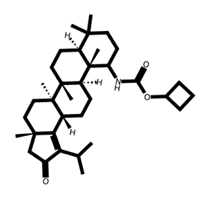 CC(C)C1=C2[C@H]3CC[C@@H]4[C@@]5(C)C(NC(=O)OC6CCC6)CCC(C)(C)[C@@H]5CC[C@@]4(C)[C@]3(C)CC[C@@]2(C)CC1=O